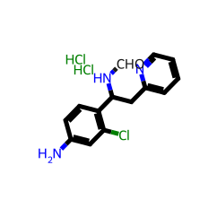 Cl.Cl.Nc1ccc(C(Cc2ccccn2)NC=O)c(Cl)c1